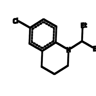 CCC(CC)N1CCCc2cc(Cl)ccc21